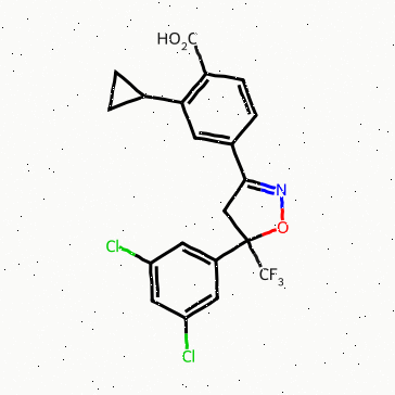 O=C(O)c1ccc(C2=NOC(c3cc(Cl)cc(Cl)c3)(C(F)(F)F)C2)cc1C1CC1